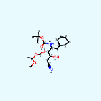 COC(C)OCO[C@H]([C@H](CC1CCCCC1)NC(=O)OC(C)(C)C)[C@@H](O)CC#N